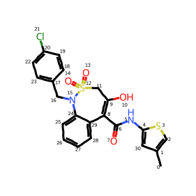 Cc1csc(NC(=O)C2=C(O)CS(=O)(=O)N(Cc3ccc(Cl)cc3)c3ccccc32)c1